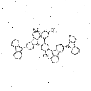 N#Cc1cc(-n2c3ccccc3c3cc(-n4c5ccccc5c5ccccc54)ccc32)c(-c2cc(C(F)(F)F)cc(C(F)(F)F)c2)cc1-n1c2ccccc2c2cc(-n3c4ccccc4c4ccccc43)ccc21